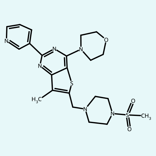 Cc1c(CN2CCN(S(C)(=O)=O)CC2)sc2c(N3CCOCC3)nc(-c3cccnc3)nc12